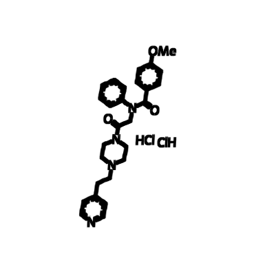 COc1ccc(C(=O)N(CC(=O)N2CCN(CCc3ccncc3)CC2)c2ccccc2)cc1.Cl.Cl